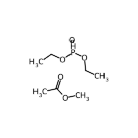 CCO[PH](=O)OCC.COC(C)=O